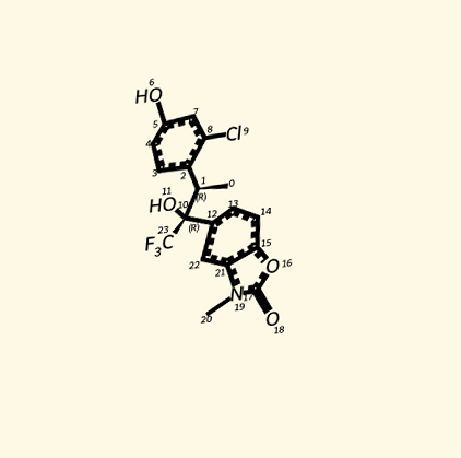 C[C@H](c1ccc(O)cc1Cl)[C@@](O)(c1ccc2oc(=O)n(C)c2c1)C(F)(F)F